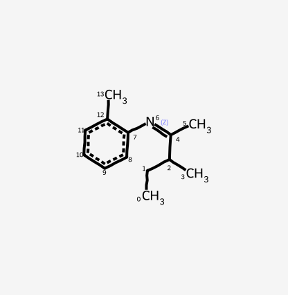 CCC(C)/C(C)=N\c1ccccc1C